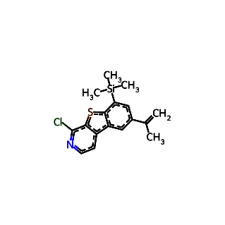 C=C(C)c1cc([Si](C)(C)C)c2sc3c(Cl)nccc3c2c1